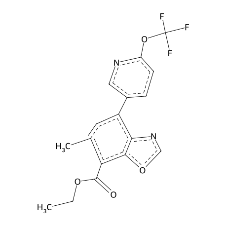 CCOC(=O)c1c(C)cc(-c2ccc(OC(F)(F)F)nc2)c2ncoc12